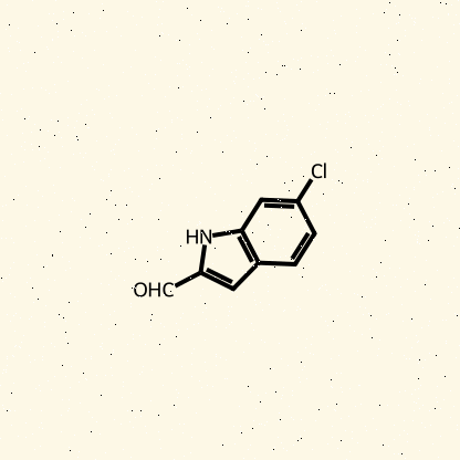 O=Cc1cc2ccc(Cl)cc2[nH]1